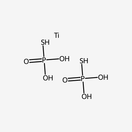 O=P(O)(O)S.O=P(O)(O)S.[Ti]